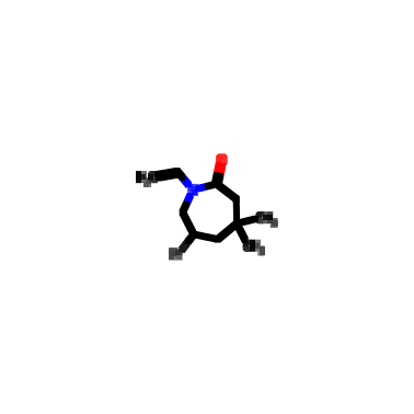 C=CN1CC(CC)CC(C)(C)CC1=O